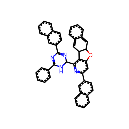 C1=c2ccccc2=CC2c3c(cc(-c4ccc5ccccc5c4)nc3C3N=C(c4ccc5ccccc5c4)N=C(c4ccccc4)N3)OC12